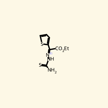 CCOC(=O)/C(=N\NC(N)=S)c1cccs1